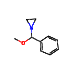 COC(c1ccccc1)N1CC1